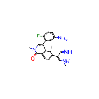 CN/C=C(\C=N)C1=CC=C2C(=O)N(C)C=C(c3cc(N)ccc3F)C2[C@@H]1C